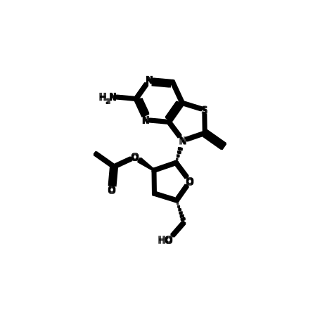 C=C1Sc2cnc(N)nc2N1[C@@H]1O[C@H](CO)C[C@H]1OC(C)=O